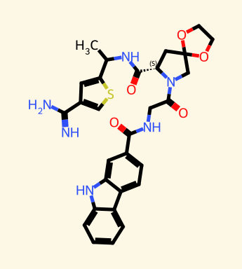 CC(NC(=O)[C@@H]1CC2(CN1C(=O)CNC(=O)c1ccc3c(c1)[nH]c1ccccc13)OCCO2)c1cc(C(=N)N)cs1